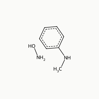 CNc1ccccc1.NO